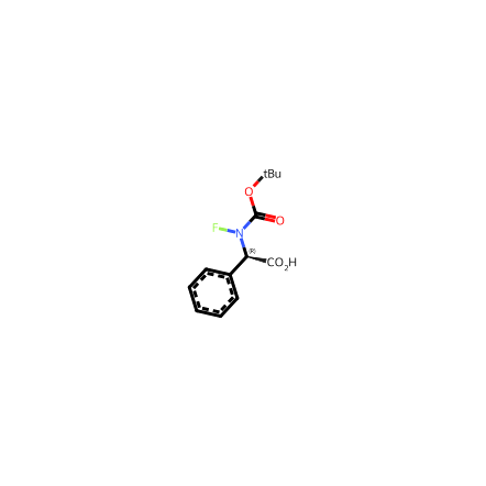 CC(C)(C)OC(=O)N(F)[C@@H](C(=O)O)c1ccccc1